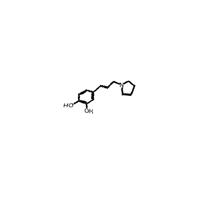 Oc1ccc(CCCN2CCCC2)cc1O